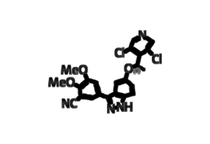 COc1cc(-c2n[nH]c3ccc(O[C@H](C)c4c(Cl)cncc4Cl)cc23)cc(C#N)c1OC